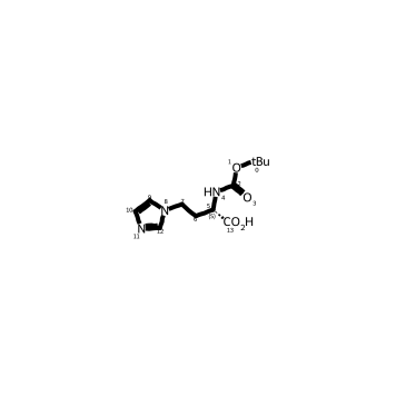 CC(C)(C)OC(=O)N[C@@H](CCn1ccnc1)C(=O)O